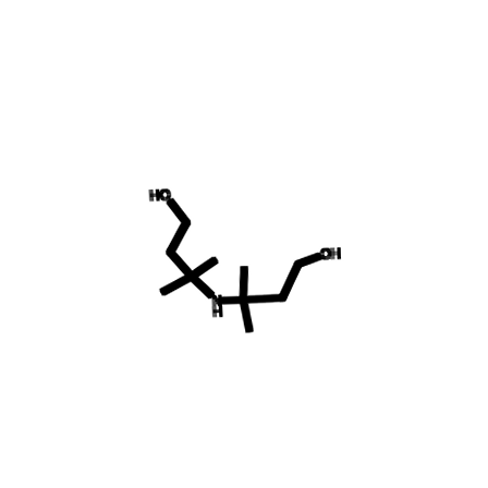 CC(C)(CCO)NC(C)(C)CCO